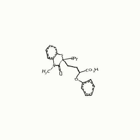 CC(C)C1(CCC(Oc2ccccc2)C(=O)O)Sc2ccccc2N(C)C1=O